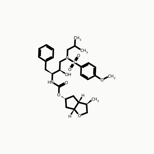 COc1ccc(S(=O)(=O)N(CC(C)C)C[C@@H](O)[C@H](Cc2ccccc2)NC(=O)O[C@@H]2C[C@@H]3[C@@H](C)CO[C@@H]3C2)cc1